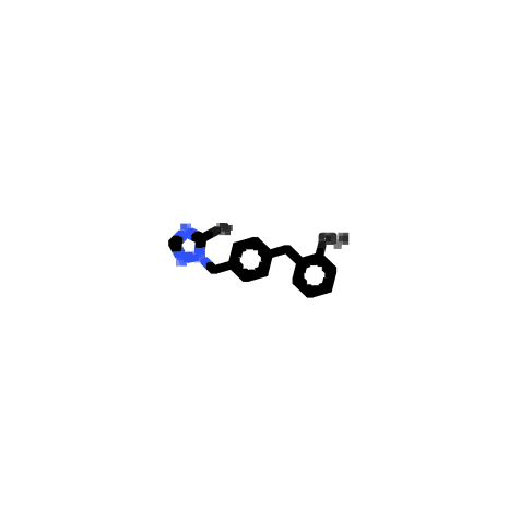 CC(C)c1ncnn1Cc1ccc(Cc2ccccc2C(=O)O)cc1